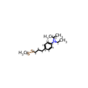 CCN(c1ccc(CCCSSC)cc1)C(C)C